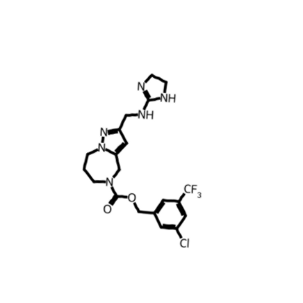 O=C(OCc1cc(Cl)cc(C(F)(F)F)c1)N1CCCn2nc(CNC3=NCCN3)cc2C1